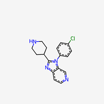 Clc1ccc(-n2c(C3CCNCC3)nc3ccncc32)cc1